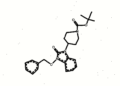 CC(C)(C)OC(=O)N1CCC(n2c(=O)n(OCc3ccccc3)c3ccccc32)CC1